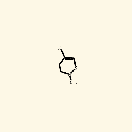 CC1=CSN(C)CC1